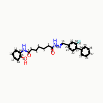 O=C(CCCCCC(=O)Nc1ccccc1O)NN=Cc1ccc(-c2ccccc2)c(F)c1